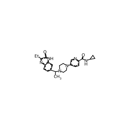 CCc1nc2ccc(C(C)N3CCN(c4ccc(C(=O)NC5CC5)nc4)CC3)cc2[nH]c1=O